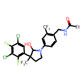 CCC(=O)NCc1ccc(N2CCC(c3cc(Cl)c(F)c(Cl)c3F)(C(F)(F)F)C2O)cc1C(F)(F)F